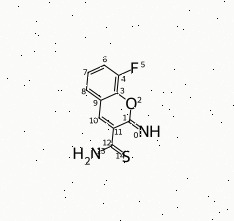 N=c1oc2c(F)cccc2cc1C(N)=S